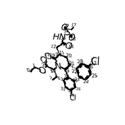 CCOC(=O)[C@H](CC)N1C(=O)[C@@H](CC(=O)NS(C)(=O)=O)C[C@H](c2cccc(Cl)c2)C1c1ccc(Cl)cc1